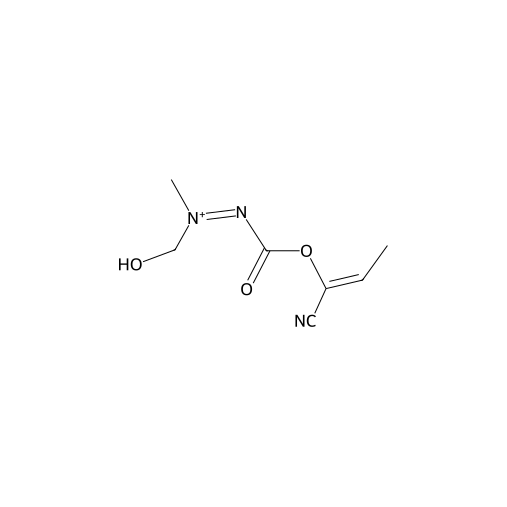 C/C=C(/C#N)OC(=O)N=[N+](C)CO